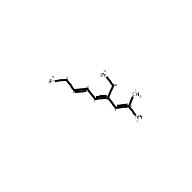 CCCC(C)=CC(=CC=CCC(C)C)CC(C)C